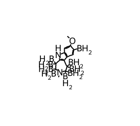 Bc1cc2c3c([nH]c2cc1OC)C(B)(B)C(B)(B)N(C)C(B)(B)C3(B)B